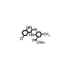 COC(=O)c1cc(C)ccc1Nc1c(Br)nnc2ccc(Cl)cc12